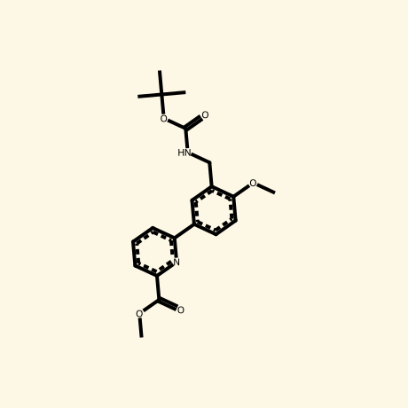 COC(=O)c1cccc(-c2ccc(OC)c(CNC(=O)OC(C)(C)C)c2)n1